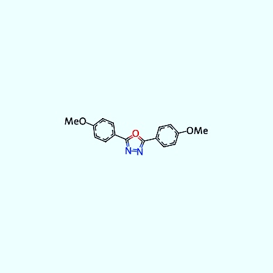 COc1ccc(-c2nnc(-c3ccc(OC)cc3)o2)cc1